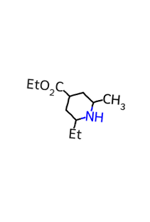 CCOC(=O)C1CC(C)NC(CC)C1